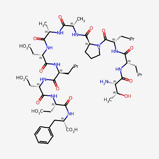 CC(C)C[C@H](NC(=O)[C@H](CC(=O)O)NC(=O)[C@H](C)NC(=O)[C@H](C)NC(=O)[C@@H]1CCCN1C(=O)[C@H](CC(C)C)NC(=O)[C@H](CC(C)C)NC(=O)[C@@H](N)[C@@H](C)O)C(=O)N[C@@H](CC(=O)O)C(=O)N[C@@H](CC(=O)O)C(=O)N[C@@H](Cc1ccccc1)C(=O)O